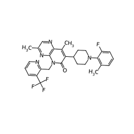 Cc1cnc2c(C)c(C3CCN(c4c(C)cccc4F)CC3)c(=O)n(Cc3ncccc3C(F)(F)F)c2n1